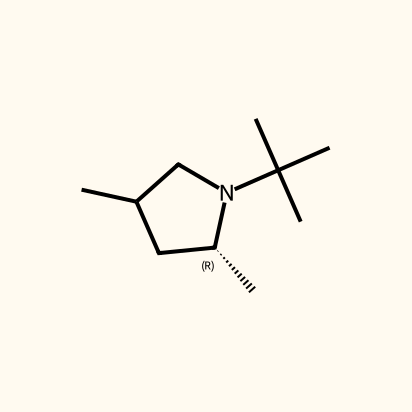 CC1C[C@@H](C)N(C(C)(C)C)C1